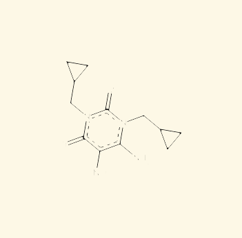 Nc1c(N=O)c(=O)n(CC2CC2)c(=O)n1CC1CC1